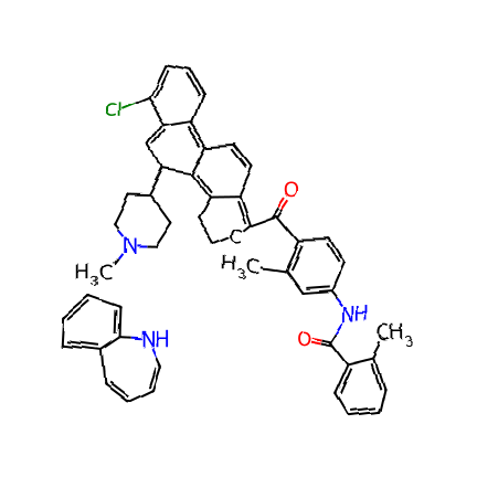 C1=CNc2ccccc2C=C1.Cc1ccccc1C(=O)Nc1ccc(C(=O)C2=c3ccc4c(c3CCC2)C(C2CCN(C)CC2)C=c2c(Cl)cccc2=4)c(C)c1